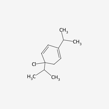 CC(C)C1=CCC(Cl)(C(C)C)C=C1